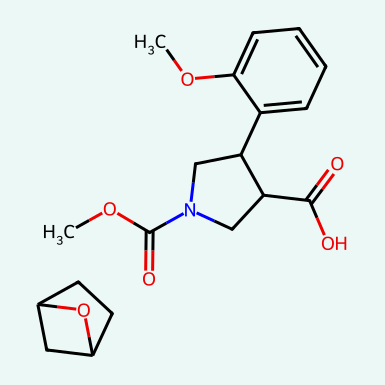 C1CC2CC1O2.COC(=O)N1CC(C(=O)O)C(c2ccccc2OC)C1